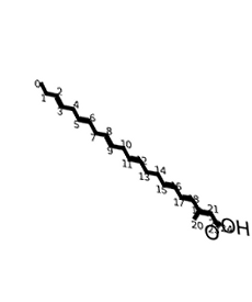 CC/C=C/C/C=C/C/C=C/C/C=C/CC/C=C/C=C/C(C)=C/C(=O)O